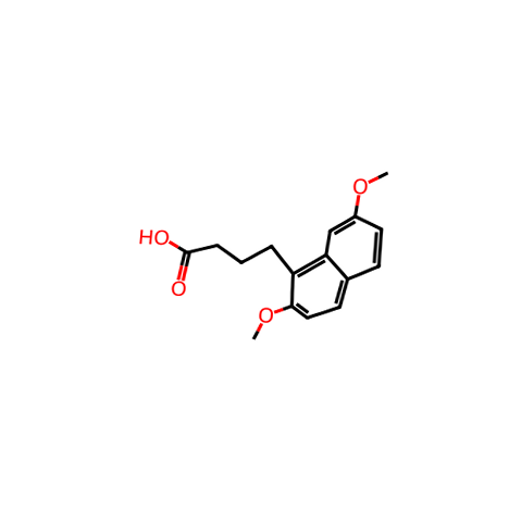 COc1ccc2ccc(OC)c(CCCC(=O)O)c2c1